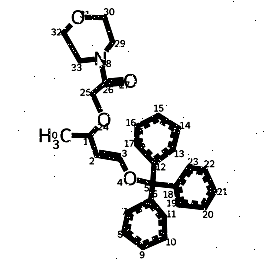 CC(C=COC(c1ccccc1)(c1ccccc1)c1ccccc1)OCC(=O)N1CCOCC1